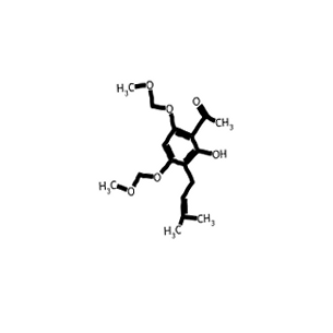 COCOc1cc(OCOC)c(C(C)=O)c(O)c1CC=C(C)C